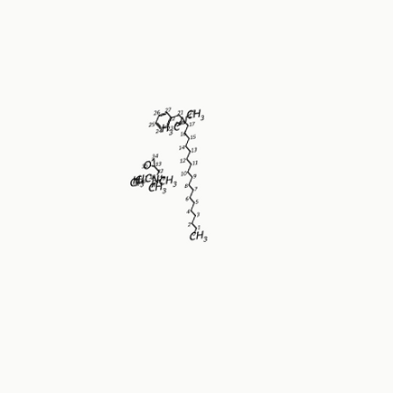 CCCCCCCCCCCCCCCCCC[N+](C)(C)Cc1ccccc1.C[N+](C)(C)CC1CO1.[Cl-].[Cl-]